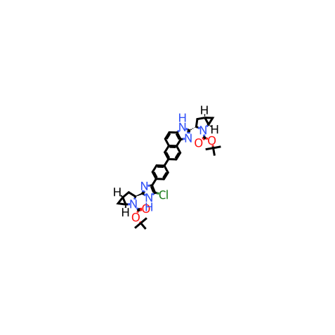 CC(C)(C)OC(=O)N1[C@@H]2C[C@@H]2C[C@H]1c1nc(-c2ccc(-c3ccc4c(ccc5[nH]c([C@@H]6C[C@H]7C[C@H]7N6C(=O)OC(C)(C)C)nc54)c3)cc2)c(Cl)[nH]1